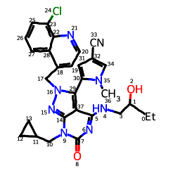 CCC(O)CNc1nc(=O)n(CC2CC2)c2nn(Cc3ccnc4c(Cl)cccc34)c(-c3cc(C#N)cn3C)c12